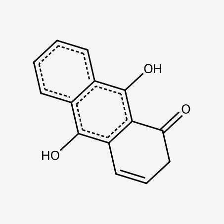 O=C1CC=Cc2c1c(O)c1ccccc1c2O